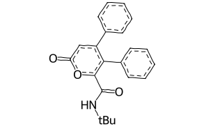 CC(C)(C)NC(=O)c1oc(=O)cc(-c2ccccc2)c1-c1ccccc1